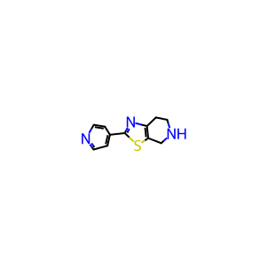 c1cc(-c2nc3c(s2)CNCC3)ccn1